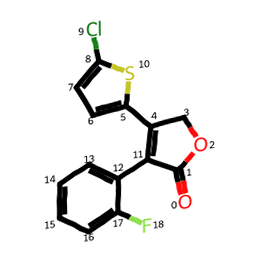 O=C1OCC(c2ccc(Cl)s2)=C1c1ccccc1F